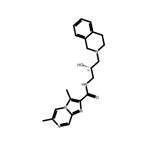 Cc1cn2c(C)c(C(=O)NC[C@H](O)CN3CCc4ccccc4C3)nc2cn1